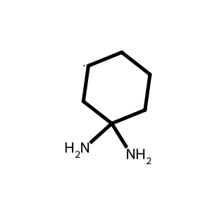 NC1(N)C[CH]CCC1